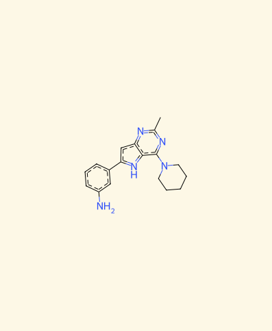 Cc1nc(N2CCCCC2)c2[nH]c(-c3cccc(N)c3)cc2n1